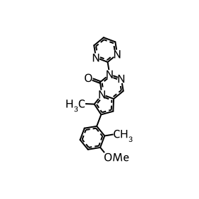 COc1cccc(-c2cc3cnn(-c4ncccn4)c(=O)n3c2C)c1C